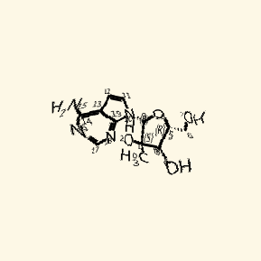 C[C@]1(O)[C@H](O)[C@@H](CO)O[C@H]1n1ccc2c(N)ncnc21